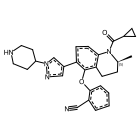 C[C@H]1CCc2c(ccc(-c3cnn(C4CCNCC4)c3)c2Oc2ccccc2C#N)N1C(=O)C1CC1